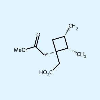 COC(=O)C[C@]1(CC(=O)O)C[C@H](C)[C@@H]1C